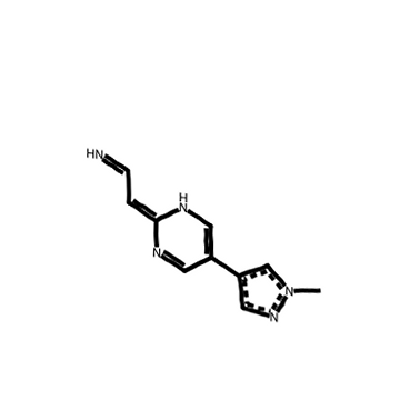 Cn1cc(C2=CN/C(=C\C=N)N=C2)cn1